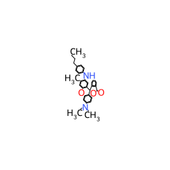 CCCCc1ccc(Nc2cc3c(cc2C)Oc2cc(N(CC)CC)ccc2C32OC(=O)c3ccccc32)cc1